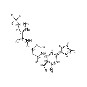 C[C@H]1C[C@H](CNC(=O)c2cn(C(C)(C)C)nn2)CCN1c1nc(-c2cnn(C)c2)cn2nccc12